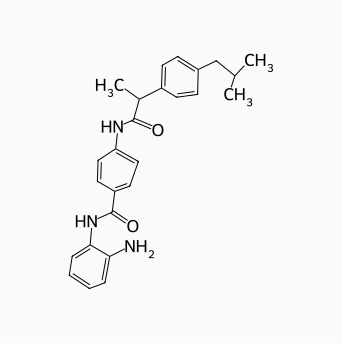 CC(C)Cc1ccc(C(C)C(=O)Nc2ccc(C(=O)Nc3ccccc3N)cc2)cc1